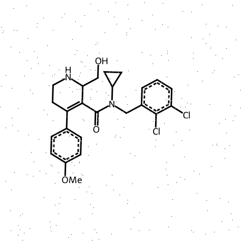 COc1ccc(C2=C(C(=O)N(Cc3cccc(Cl)c3Cl)C3CC3)C(CO)NCC2)cc1